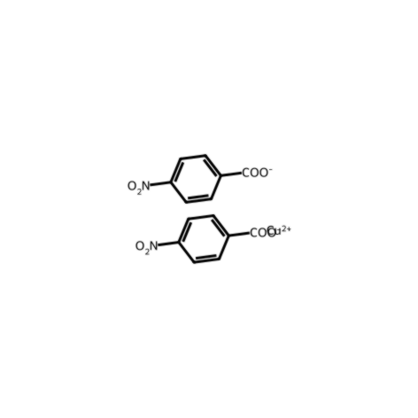 O=C([O-])c1ccc([N+](=O)[O-])cc1.O=C([O-])c1ccc([N+](=O)[O-])cc1.[Cu+2]